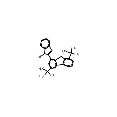 CC(C)(C)c1cc(C2=Cc3ccccc3[CH]2[Hf])c2c(c1)-c1cccc(C(C)(C)C)c1C2